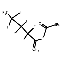 C=C(OC(=O)C(C)CC)C(F)(F)C(F)(F)C(F)(F)C(F)(F)F